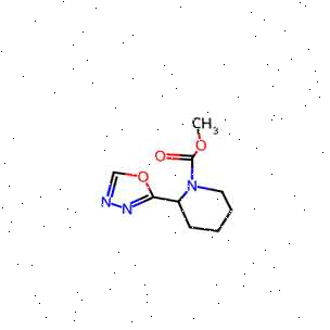 COC(=O)N1CCCCC1c1nnco1